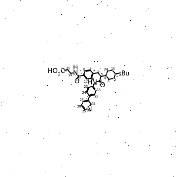 CC(C)(C)C1CCC(C(Cc2ccc(C(=O)NCCC(=O)O)cc2)C(=O)Nc2ccc(-c3cccnc3)cc2)CC1